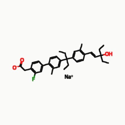 CCC(O)(C=Cc1ccc(C(CC)(CC)c2ccc(-c3ccc(CC(=O)[O-])c(F)c3)c(C)c2)cc1C)CC.[Na+]